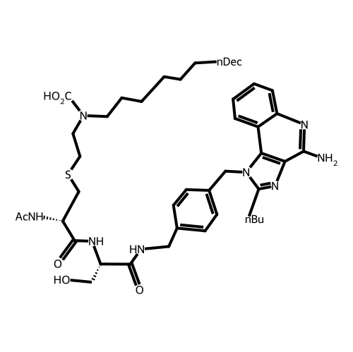 CCCCCCCCCCCCCCCCN(CCSC[C@@H](NC(C)=O)C(=O)N[C@@H](CO)C(=O)NCc1ccc(Cn2c(CCCC)nc3c(N)nc4ccccc4c32)cc1)C(=O)O